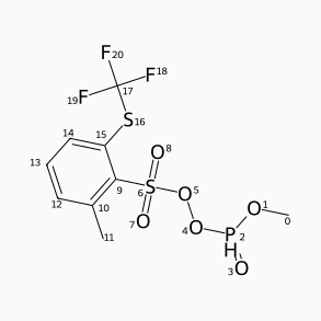 CO[PH](=O)OOS(=O)(=O)c1c(C)cccc1SC(F)(F)F